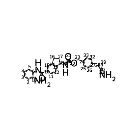 Nc1ccccc1NC(=O)c1ccc2c(c1)CC[C@@H]2NC(=O)OCc1ccc([C@@H]2C[C@H]2N)cc1